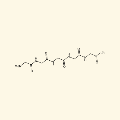 CNCC(=O)NCC(=O)NCC(=O)NCC(=O)NCC(=O)C(C)(C)C